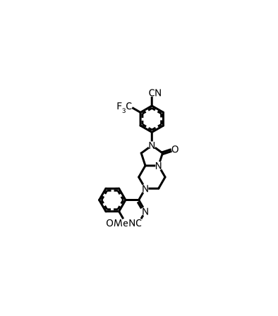 COc1ccccc1C(=NC#N)N1CCN2C(=O)N(c3ccc(C#N)c(C(F)(F)F)c3)CC2C1